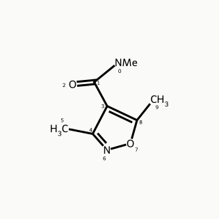 CNC(=O)c1c(C)noc1C